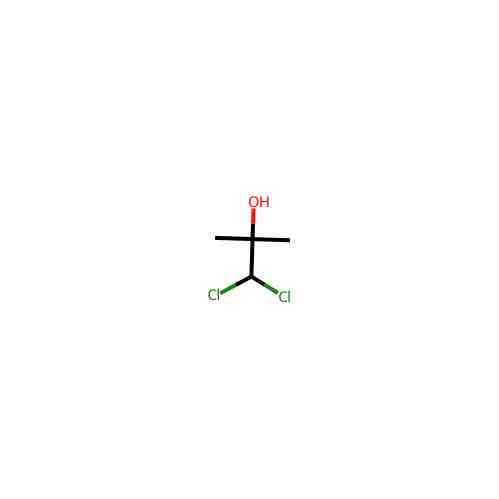 CC(C)(O)C(Cl)Cl